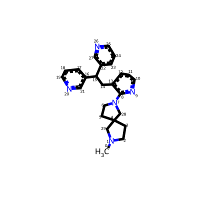 CN1CCC2(CCN(c3ncccc3CC(c3cccnc3)c3cccnc3)C2)C1